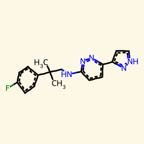 CC(C)(CNc1ccc(-c2cc[nH]n2)nn1)c1ccc(F)cc1